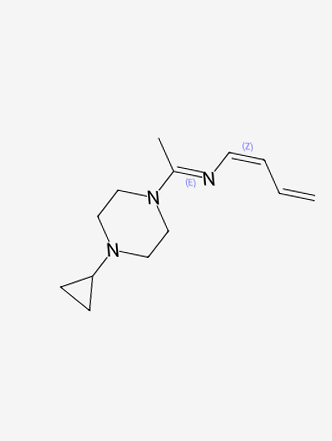 C=C/C=C\N=C(/C)N1CCN(C2CC2)CC1